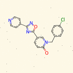 O=c1ccc(-c2nc(-c3ccncc3)no2)cn1Cc1ccc(Cl)cc1